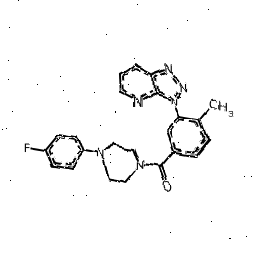 Cc1ccc(C(=O)N2CCN(c3ccc(F)cc3)CC2)cc1-n1nnc2cccnc21